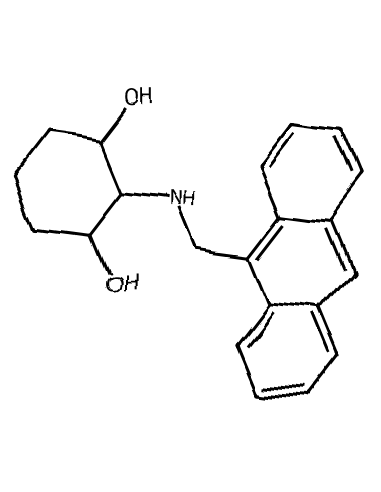 OC1CCCC(O)C1NCc1c2ccccc2cc2ccccc12